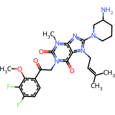 COc1c(C(=O)Cn2c(=O)c3c(nc(N4CCCC(N)C4)n3CC=C(C)C)n(C)c2=O)ccc(F)c1F